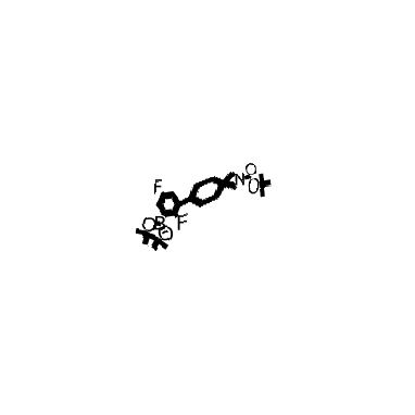 CC(C)(C)OC(=O)N1CC2(CCC(c3cc(F)cc(B4OC(C)(C)C(C)(C)O4)c3F)CC2)C1